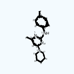 Cc1ccc(Nc2nc(C)cc(N3CCCCC3)n2)cc1